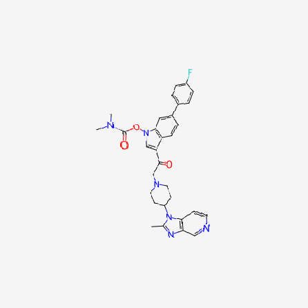 Cc1nc2cnccc2n1C1CCN(CC(=O)c2cn(OC(=O)N(C)C)c3cc(-c4ccc(F)cc4)ccc23)CC1